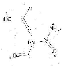 CC(=O)O.NC(=O)NC=O